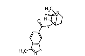 Cc1nsc2cc(C(=O)N[C@@H]3C4CCN(CC4)[C@H]3C)ccc12